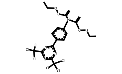 C=C(OOCC)N(C(=C)OOCC)c1ccc(-c2nc(C(Cl)(Cl)Cl)nc(C(Cl)(Cl)Cl)n2)cc1